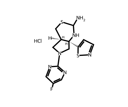 Cl.NC1N[C@@]2(c3ccns3)CN(c3ncc(F)cn3)C[C@H]2CS1